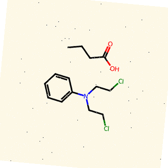 CCCC(=O)O.ClCCN(CCCl)c1ccccc1